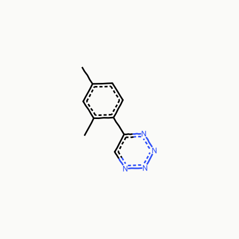 Cc1ccc(-c2cnnnn2)c(C)c1